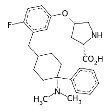 CN(C)C1(c2ccccc2)CCC(Cc2cc(O[C@@H]3CN[C@H](C(=O)O)C3)ccc2F)CC1